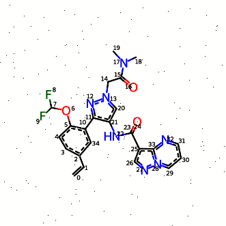 C=Cc1ccc(OC(F)F)c(-c2nn(CC(=O)N(C)C)cc2NC(=O)c2cnn3cccnc23)c1